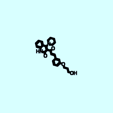 O=C(C=Cc1cccc(OCCCO)c1)c1c(N2CCCCC2)c2ccccc2[nH]c1=O